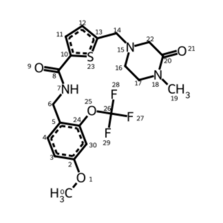 COc1ccc(CNC(=O)c2ccc(CN3CCN(C)C(=O)C3)s2)c(OC(F)(F)F)c1